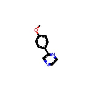 COc1ccc(-c2cnccn2)cc1